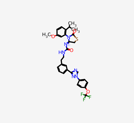 COc1ccc(C(C)C)c(N2C(=O)SC/C2=N\C(=O)NCCc2cccc(-c3ncn(-c4ccc(OC(F)(F)F)cc4)n3)c2)c1